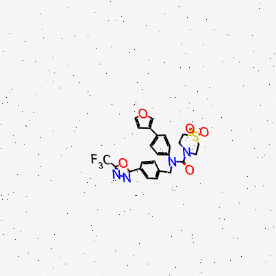 O=C(N1CCS(=O)(=O)CC1)N(Cc1ccc(-c2nnc(C(F)(F)F)o2)cc1)c1ccc(-c2ccoc2)cc1